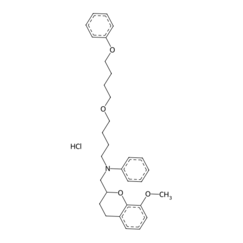 COc1cccc2c1OC(CN(CCCCOCCCCOc1ccccc1)c1ccccc1)CC2.Cl